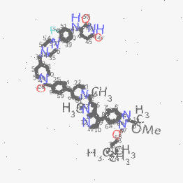 CO[C@@H](C)c1nc2ccc(-c3ccnc4c3cc([C@H](C)N3CCC(c5ccc(C(=O)N6CCC(CN7CCN(c8ccc(NC9CCC(=O)NC9=O)cc8F)CC7)CC6)cc5)CC3)n4C)cc2n1COCC[Si](C)(C)C